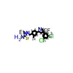 CCN(/N=C/c1ccc(C2=NCC(c3cc(Cl)cc(Cl)c3)(C(F)(F)F)C2)cc1C)C(N)=S